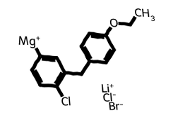 CCOc1ccc(Cc2c[c]([Mg+])ccc2Cl)cc1.[Br-].[Cl-].[Li+]